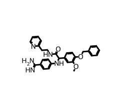 COc1cc(C(Nc2ccc(C(=N)N)cc2)C(=O)NCCc2ccccn2)ccc1OCc1ccccc1